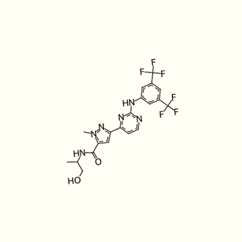 CC(CO)NC(=O)c1cc(-c2ccnc(Nc3cc(C(F)(F)F)cc(C(F)(F)F)c3)n2)nn1C